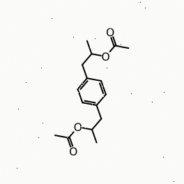 CC(=O)OC(C)Cc1ccc(CC(C)OC(C)=O)cc1